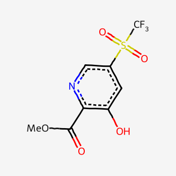 COC(=O)c1ncc(S(=O)(=O)C(F)(F)F)cc1O